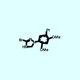 COc1cc(OC)c(N2CNC(Br)=N2)cc1C(C)C